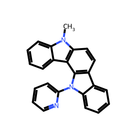 Cn1c2ccccc2c2c1ccc1c3ccccc3n(-c3ccccn3)c12